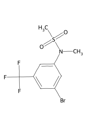 CN(c1cc(Br)cc(C(F)(F)F)c1)S(C)(=O)=O